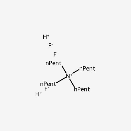 CCCCC[N+](CCCCC)(CCCCC)CCCCC.[F-].[F-].[F-].[H+].[H+]